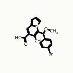 COC(c1ccc(Br)cc1)c1c(C)c(C(=O)O)cc2cccn12